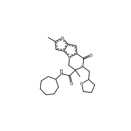 Cc1cc2c(cc3n2CC(C)(C(=O)NC2CCCCCC2)N(CC2CCCO2)C3=O)o1